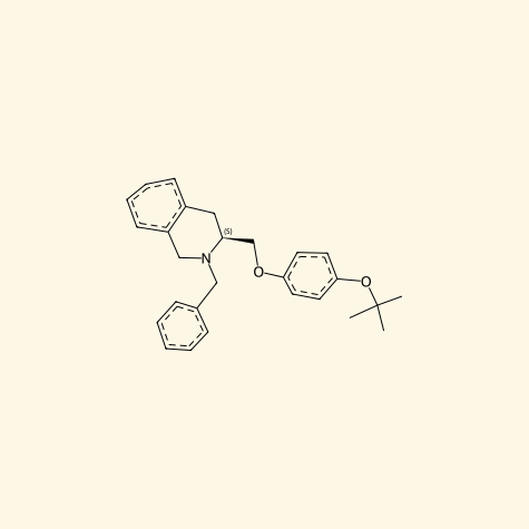 CC(C)(C)Oc1ccc(OC[C@@H]2Cc3ccccc3CN2Cc2ccccc2)cc1